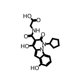 O=C(O)CNC(=O)c1c(O)c2cc3c(O)cccc3n2n(C2CCCC2)c1=O